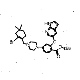 CC1(C)CCC(CN2CCN(c3ccc(C(=O)OC(C)(C)C)c(Oc4cnc5[nH]ccc5c4)c3)CC2)=C(Br)C1